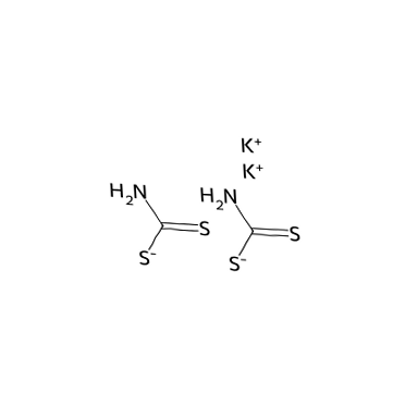 NC(=S)[S-].NC(=S)[S-].[K+].[K+]